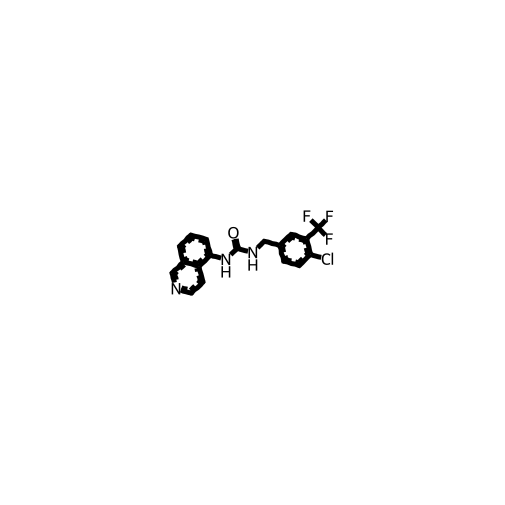 O=C(NCc1ccc(Cl)c(C(F)(F)F)c1)Nc1cccc2cnccc12